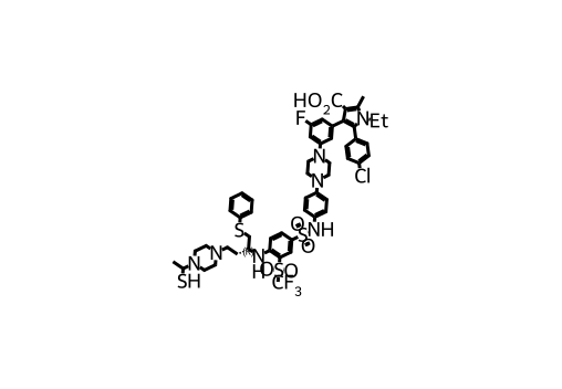 CCn1c(C)c(C(=O)O)c(-c2cc(F)cc(N3CCN(c4ccc(NS(=O)(=O)c5ccc(N[C@H](CCN6CCN(C(C)S)CC6)CSc6ccccc6)c(S(=O)(=O)C(F)(F)F)c5)cc4)CC3)c2)c1-c1ccc(Cl)cc1